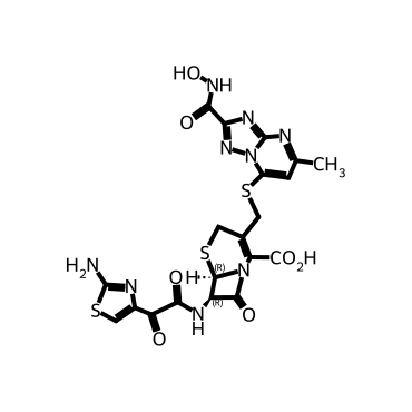 Cc1cc(SCC2=C(C(=O)O)N3C(=O)[C@@H](NC(=O)C(=O)c4csc(N)n4)[C@H]3SC2)n2nc(C(=O)NO)nc2n1